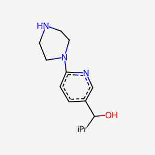 CC(C)C(O)c1ccc(N2CCNCC2)nc1